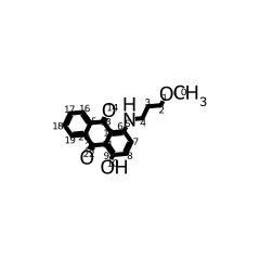 COCCCNc1ccc(O)c2c1C(=O)c1ccccc1C2=O